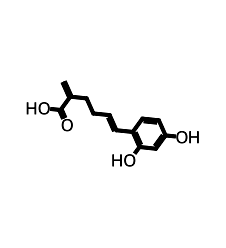 C=C(CCC=Cc1ccc(O)cc1O)C(=O)O